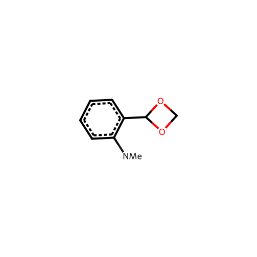 CNc1ccccc1C1OCO1